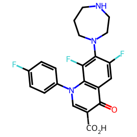 O=C(O)c1cn(-c2ccc(F)cc2)c2c(F)c(N3CCCNCC3)c(F)cc2c1=O